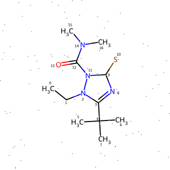 CCN1C(C(C)(C)C)=NC([S])N1C(=O)N(C)C